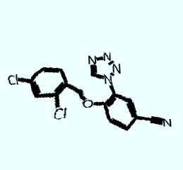 N#Cc1ccc(OCc2ccc(Cl)cc2Cl)c(-n2cnnn2)c1